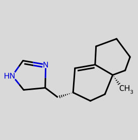 C[C@@]12CCCCC1=C[C@@H](CC1CNC=N1)CC2